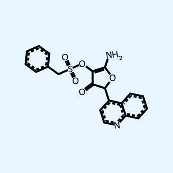 NC1=C(OS(=O)(=O)Cc2ccccc2)C(=O)C(c2ccnc3ccccc23)O1